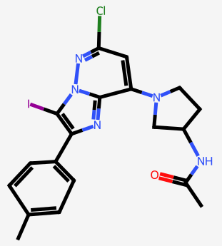 CC(=O)NC1CCN(c2cc(Cl)nn3c(I)c(-c4ccc(C)cc4)nc23)C1